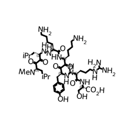 CN[C@@H](CC(C)C)C(=O)C(=O)[C@H](CC(C)C)NN[C@@H](CCCCN)C(=O)N[C@@H](CCCCN)C(=O)C(=O)[C@H](Cc1ccc(O)cc1)NN[C@@H](CCCNC(N)N)C(=O)N[C@@H](CO)C(=O)O